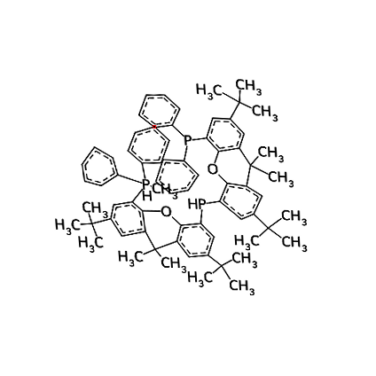 CC(C)(C)c1cc(Pc2cc(C(C)(C)C)cc3c2Oc2c(cc(C(C)(C)C)cc2[PH](C)(c2ccccc2)c2ccccc2)C3(C)C)c2c(c1)C(C)(C)c1cc(C(C)(C)C)cc(P(c3ccccc3)c3ccccc3)c1O2